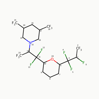 FC(C(F)(F)F)C(F)(F)C1CCCC(C(F)(F)C(N2CC(C(F)(F)F)CC(C(F)(F)F)C2)C(F)(F)F)O1